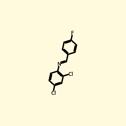 Fc1ccc(C=Nc2ccc(Cl)cc2Cl)cc1